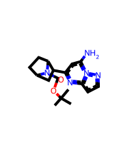 CC(C)(C)OC(=O)N1C2CCC1C(c1cc(N)n3nccc3n1)C2